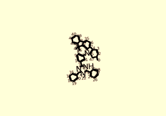 CC1C=Cc2c(n(-c3cccc(C4=NC(c5ccccc5)N(C)C(c5ccccc5)N4)c3)c3c4c(ccc23)-c2ccccc2C4(C)C)C1